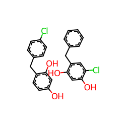 Oc1cc(O)c(Cc2ccccc2)cc1Cl.Oc1ccc(Cc2ccc(Cl)cc2)c(O)c1